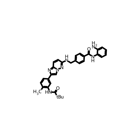 Cc1ccc(-c2cn3nc(NCc4ccc(C(=O)Nc5ccccc5N)cc4)ccc3n2)cc1NC(=O)C(C)(C)C